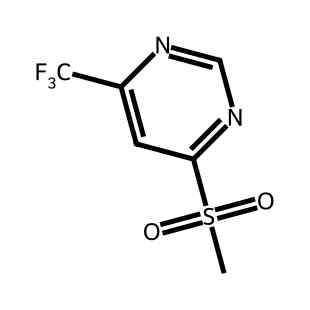 CS(=O)(=O)c1cc(C(F)(F)F)ncn1